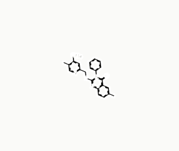 COc1cc(CSc2nc3ccc(C)cc3c(=O)n2-c2ccccc2)ncc1C